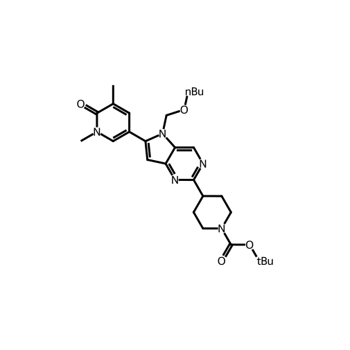 CCCCOCn1c(-c2cc(C)c(=O)n(C)c2)cc2nc(C3CCN(C(=O)OC(C)(C)C)CC3)ncc21